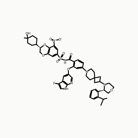 CC(C)c1ccccc1[C@@H]1COCCN1C1CC2(CCN(c3ccc(C(=O)NS(=O)(=O)c4cc5c(c([N+](=O)[O-])c4)O[C@H](C4CCC(C)(O)CC4)CO5)c(Oc4cnc5[nH]cc(F)c5c4)c3)CC2)C1